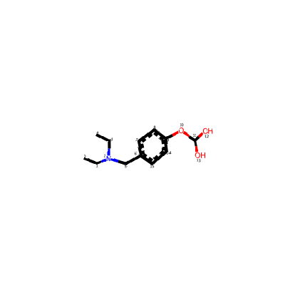 CCN(CC)Cc1ccc(OC(O)O)cc1